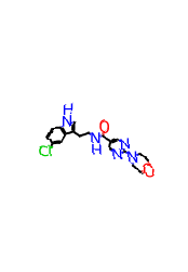 O=C(NCCc1c[nH]c2ccc(Cl)cc12)c1cnc(N2CCOCC2)nc1